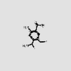 CC(F)c1cc(N)c(C(=O)O)cc1CI